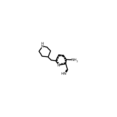 N=Cc1nc(CC2CCNCC2)ccc1N